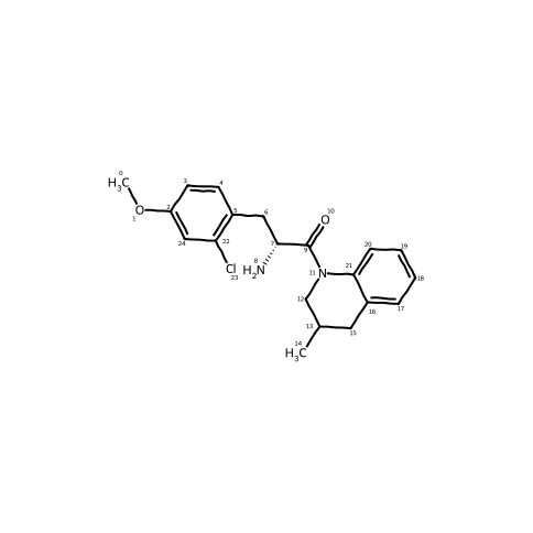 COc1ccc(C[C@@H](N)C(=O)N2CC(C)Cc3ccccc32)c(Cl)c1